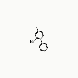 Cc1ccc(-c2ccccc2)c(Br)c1